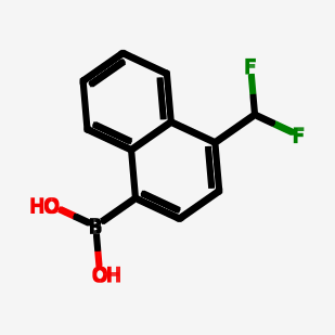 OB(O)c1ccc(C(F)F)c2ccccc12